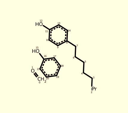 C=O.CC(C)CCCCCc1ccc(O)cc1.Oc1ccccc1